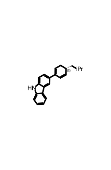 CC(C)C[C@@H]1C=CC(c2ccc3[nH]c4ccccc4c3c2)=CC1